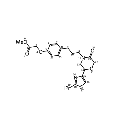 COC(=O)COc1ccc(CCCN2CC(c3csc(C(C)C)n3)OCC2=O)cc1